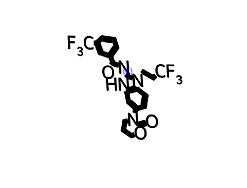 O=C(/N=c1\[nH]c2cc(N3CCCOC3=O)ccc2n1CCC(F)(F)F)c1cccc(C(F)(F)F)c1